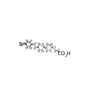 O=C(O)/C=C/CC1CCC(C2CCC(CCc3ccc(Br)cc3)CC2)CC1